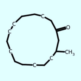 CC1CCCCCCCCCCCCCC(=O)C1